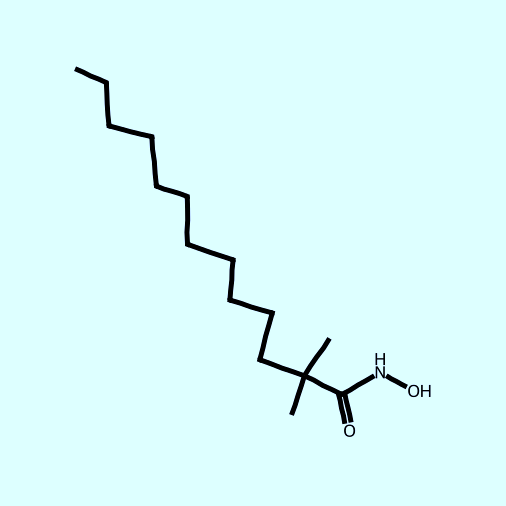 CCCCCCCCCCCC(C)(C)C(=O)NO